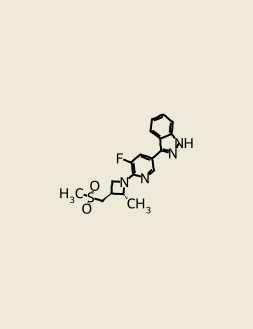 C[C@@H]1[C@@H](CS(C)(=O)=O)CN1c1ncc(-c2n[nH]c3ccccc23)cc1F